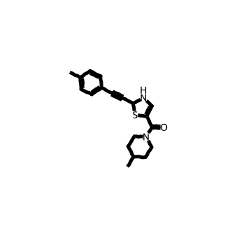 Cc1ccc(C#CC2NC=C(C(=O)N3CCC(C)CC3)S2)cc1